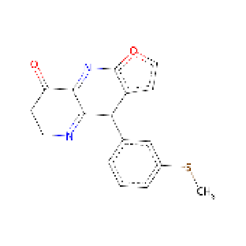 CSc1cccc(C2C3=NCCC(=O)C3=Nc3occc32)c1